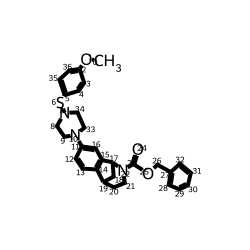 COc1ccc(SN2CCN(c3ccc4c(c3)C3CC4CCN3C(=O)OCc3ccccc3)CC2)cc1